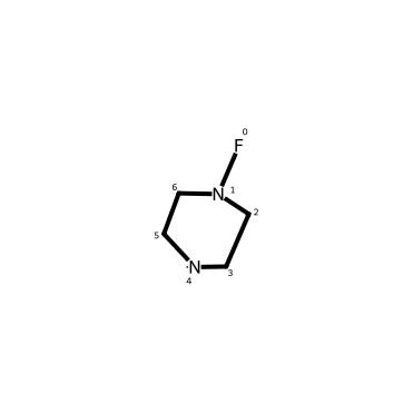 FN1CC[N]CC1